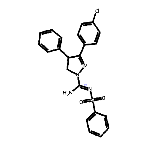 N/C(=N\S(=O)(=O)c1ccccc1)N1CC(c2ccccc2)C(c2ccc(Cl)cc2)=N1